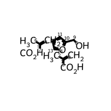 C=C(C)C(=O)O.C=C(C)C(=O)O.OCc1ccco1